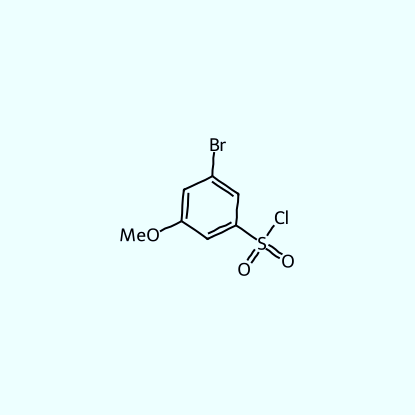 COc1cc(Br)cc(S(=O)(=O)Cl)c1